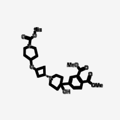 COC(=O)c1ccc(C2(O)CCN([C@H]3C[C@H](OC4CCN(C(=O)OC(C)(C)C)CC4)C3)CC2)cc1C(=O)OC